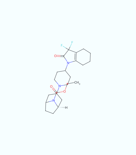 CCOC(=O)N1C2CC[C@@H]1CC(N1CCC(N3C(=O)C(F)(F)C4=C3CCCC4)CC1)C2